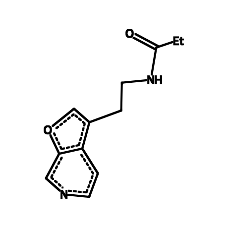 CCC(=O)NCCc1coc2cnccc12